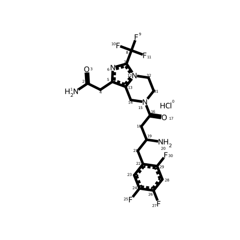 Cl.NC(=O)Cc1nc(C(F)(F)F)n2c1CN(C(=O)CC(N)Cc1cc(F)c(F)cc1F)CC2